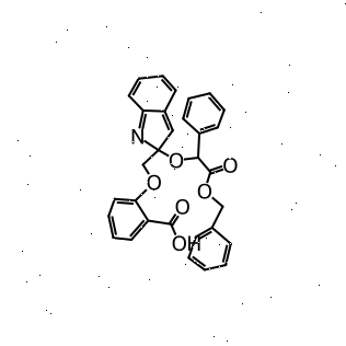 O=C(O)c1ccccc1OCC1(OC(C(=O)OCc2ccccc2)c2ccccc2)C=c2ccccc2=N1